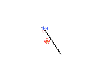 CCCCCCCCCCCCCCCCCCCCCC(=O)N[N+](C)(C)C.COS(=O)(=O)[O-]